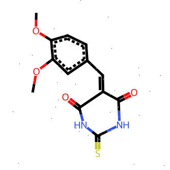 COc1ccc(C=C2C(=O)NC(=S)NC2=O)cc1OC